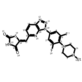 CCN1CCN(c2c(F)cc(-n3nnc4ccc(/C=C5\SC(=O)NC5=O)nc43)cc2F)CC1